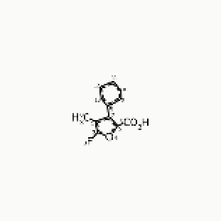 Cc1c(F)oc(C(=O)O)c1-c1ccccc1